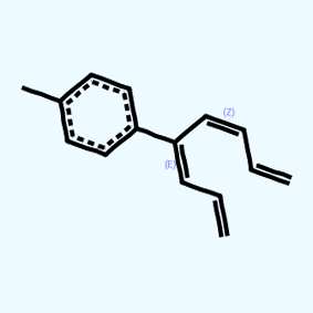 C=C/C=C\C(=C/C=C)c1ccc(C)cc1